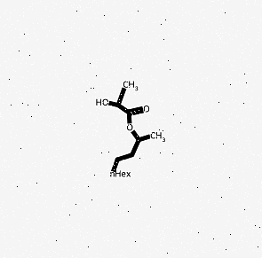 CCCCCCCCC(C)OC(=O)C(C)O